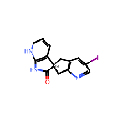 O=C1NC2=C(C=CCN2)[C@@]12Cc1cc(I)cnc1C2